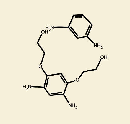 Nc1cc(N)c(OCCO)cc1OCCO.Nc1cccc(N)c1